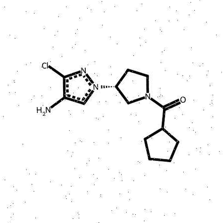 Nc1cn([C@@H]2CCN(C(=O)C3CCCC3)C2)nc1Cl